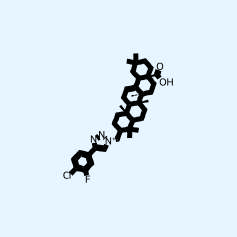 CC1(C)CC[C@]2(C(=O)O)CC[C@]3(C)C(=CCC4[C@@]5(C)CCC(/C=[N+]6/C=C(c7ccc(Cl)c(F)c7)N=N6)C(C)(C)C5CC[C@]43C)C2C1